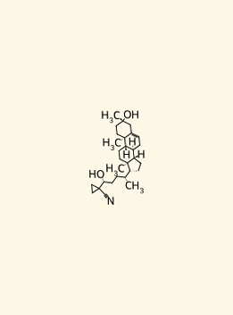 C[C@H](CC[C@@H](O)C1(C#N)CC1)[C@H]1CC[C@H]2[C@@H]3CC=C4C[C@@](C)(O)CC[C@]4(C)[C@H]3CC[C@]12C